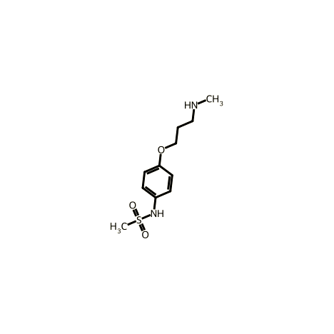 CNCCCOc1ccc(NS(C)(=O)=O)cc1